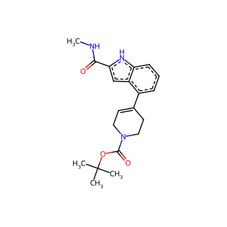 CNC(=O)c1cc2c(C3=CCN(C(=O)OC(C)(C)C)CC3)cccc2[nH]1